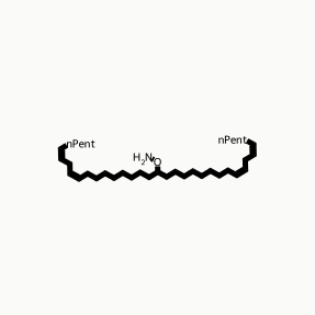 CCCCC/C=C\C/C=C\CCCCCCCCC(CCCCCCCC/C=C\C/C=C\CCCCC)ON